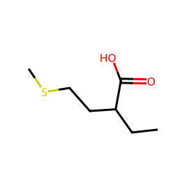 CCC(CCSC)C(=O)O